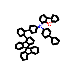 c1ccc(-c2ccc(N(c3ccc(-c4ccccc4-c4cccc5c4-c4ccccc4C54c5ccccc5-c5ccccc54)cc3)c3cccc4c3oc3ccccc34)cc2)cc1